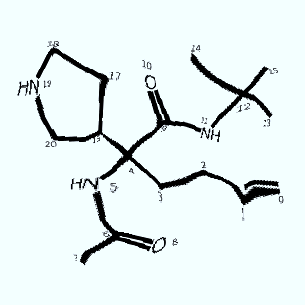 C=CCCC(NC(C)=O)(C(=O)NC(C)(C)C)[C@@H]1CCNC1